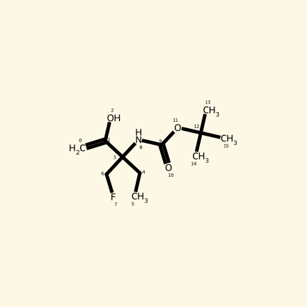 C=C(O)C(CC)(CF)NC(=O)OC(C)(C)C